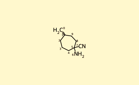 C=C1CCCC(N)(C#N)CC1